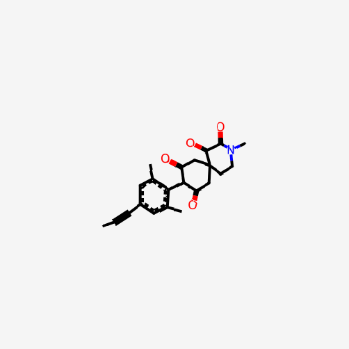 CC#Cc1cc(C)c(C2C(=O)CC3(CCN(C)C(=O)C3=O)CC2=O)c(C)c1